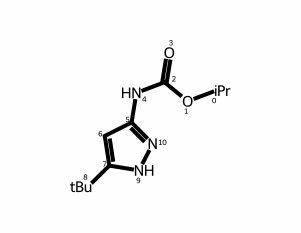 CC(C)OC(=O)Nc1cc(C(C)(C)C)[nH]n1